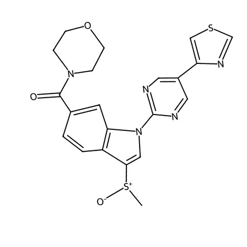 C[S+]([O-])c1cn(-c2ncc(-c3cscn3)cn2)c2cc(C(=O)N3CCOCC3)ccc12